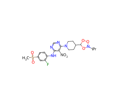 CC(C)N1OOC(C2CCN(c3ncnc(Nc4ccc(S(C)(=O)=O)cc4F)c3[N+](=O)[O-])CC2)O1